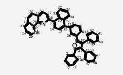 c1ccc(-c2oc(-c3cccc(-c4ccc(-c5ccc6ccc7cccnc7c6n5)c5ccccc45)c3)c(-c3ccccc3)c2-c2ccccc2)cc1